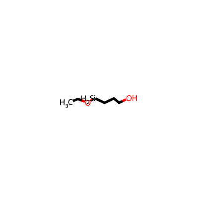 CCO[SiH2]CCCO